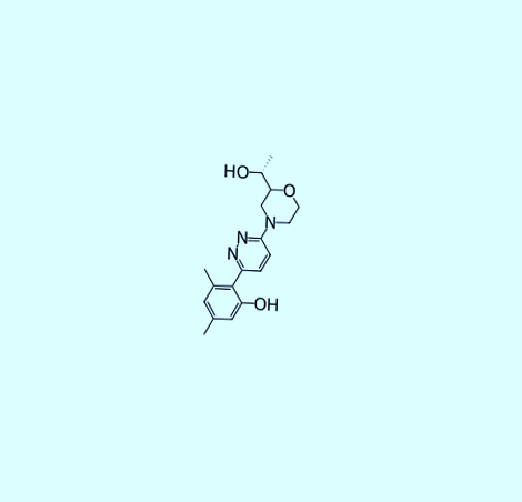 Cc1cc(C)c(-c2ccc(N3CCOC([C@@H](C)O)C3)nn2)c(O)c1